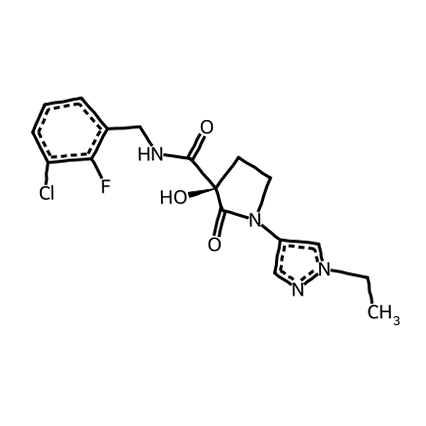 CCn1cc(N2CC[C@@](O)(C(=O)NCc3cccc(Cl)c3F)C2=O)cn1